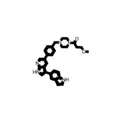 COCCC(=O)N1CCN(Cc2ccc(-c3cnc4[nH]cc(-c5ccc6[nH]ccc6c5)c4c3)cc2)CC1